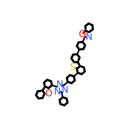 c1ccc(-c2nc(-c3ccc(-c4cccc5c4sc4ccc(-c6ccc(-c7nc8ccccc8o7)cc6)cc45)cc3)nc(-c3cccc4c3oc3ccccc34)n2)cc1